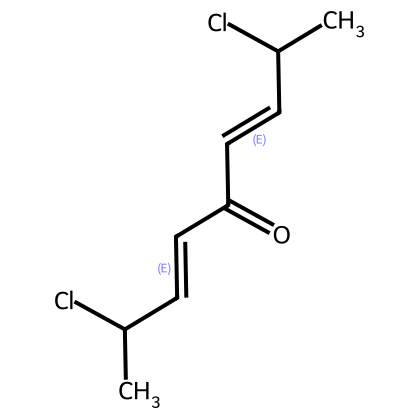 CC(Cl)/C=C/C(=O)/C=C/C(C)Cl